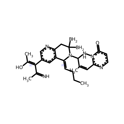 BC1(B)Cc2ncc(/C(C(C)=N)=C(\C)O)cc2/C(=C/CCC)N1C1Nn2c(nccc2=O)C=C1C